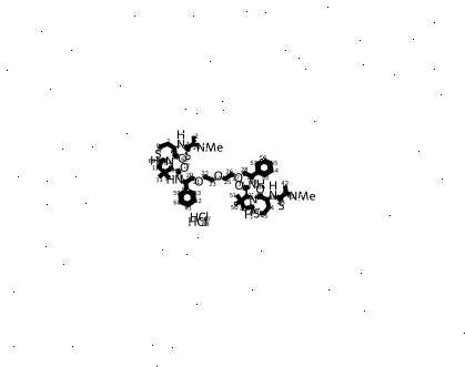 CNC(C)C(=S)N[C@H]1CCS[C@H]2CC(C)(C)[C@@H](C(=O)NC(COCCOCCOCC(NC(=O)[C@H]3N4C(=O)[C@@H](NC(=S)C(C)NC)CCS[C@H]4CC3(C)C)c3ccccc3)c3ccccc3)N2C1=O.Cl.Cl